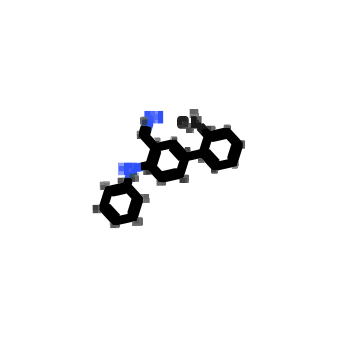 N=Cc1cc(-c2ccccc2[N+](=O)[O-])ccc1Nc1ccccc1